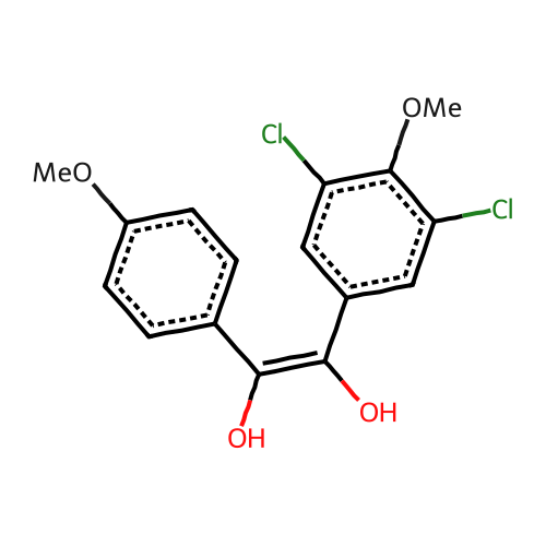 COc1ccc(/C(O)=C(/O)c2cc(Cl)c(OC)c(Cl)c2)cc1